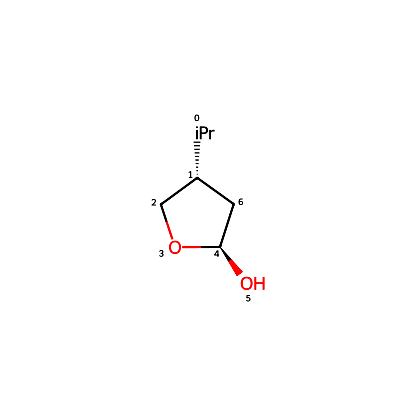 CC(C)[C@H]1CO[C@H](O)C1